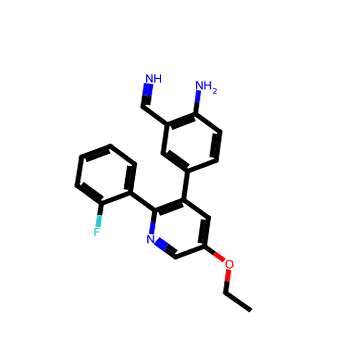 CCOc1cnc(-c2ccccc2F)c(-c2ccc(N)c(C=N)c2)c1